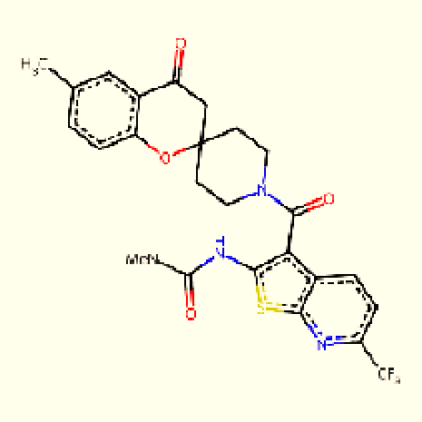 CNC(=O)Nc1sc2nc(C(F)(F)F)ccc2c1C(=O)N1CCC2(CC1)CC(=O)c1cc(C)ccc1O2